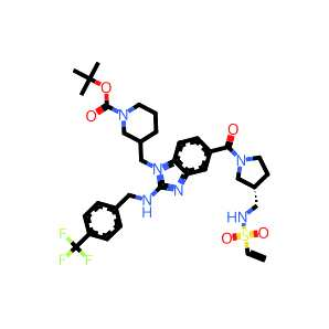 C=CS(=O)(=O)NC[C@H]1CCN(C(=O)c2ccc3c(c2)nc(NCc2ccc(C(F)(F)F)cc2)n3CC2CCCN(C(=O)OC(C)(C)C)C2)C1